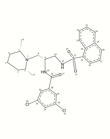 C[C@@H]1CCC[C@H](C)N1C[C@H](CNS(=O)(=O)c1cccc2ccccc12)NC(=O)c1cc(Cl)cc(Cl)c1